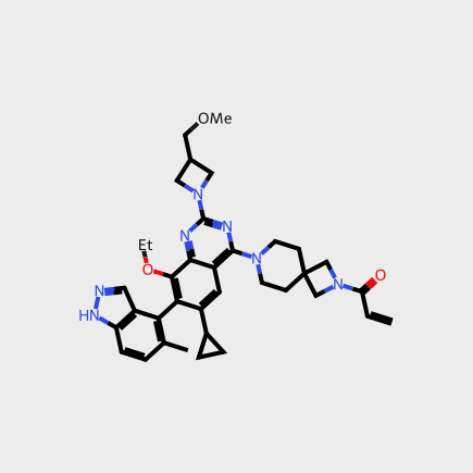 C=CC(=O)N1CC2(CCN(c3nc(N4CC(COC)C4)nc4c(OCC)c(-c5c(C)ccc6[nH]ncc56)c(C5CC5)cc34)CC2)C1